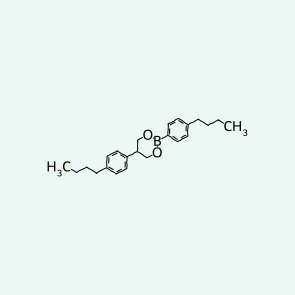 CCCCc1ccc(B2OCC(c3ccc(CCCC)cc3)CO2)cc1